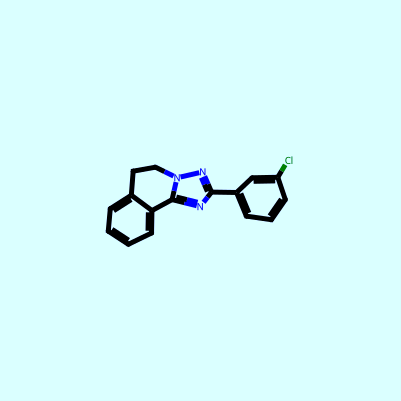 Clc1cccc(-c2nc3n(n2)CCc2ccccc2-3)c1